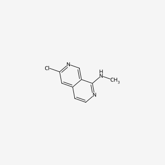 CNc1nccc2cc(Cl)ncc12